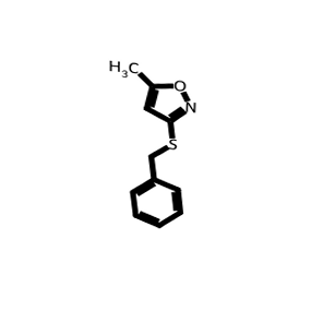 Cc1cc(SCc2ccccc2)no1